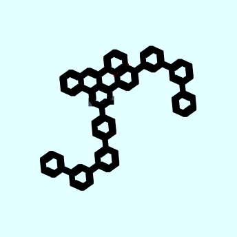 c1ccc(-c2cccc(-c3cccc(-c4ccc(-c5nc(-c6ccc(-c7cccc(-c8cccc(-c9ccccc9)c8)c7)cc6)c6c(-c7ccccc7)cc7ccccc7c6n5)cc4)c3)c2)cc1